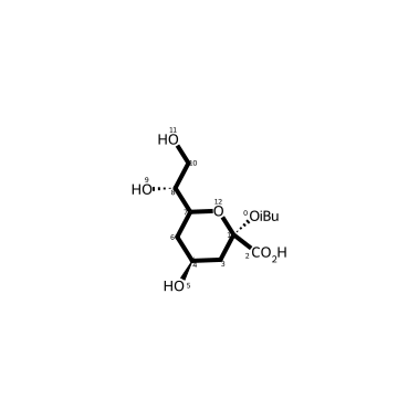 CC(C)CO[C@]1(C(=O)O)C[C@@H](O)CC([C@H](O)CO)O1